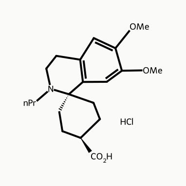 CCCN1CCc2cc(OC)c(OC)cc2[C@]12CC[C@H](C(=O)O)CC2.Cl